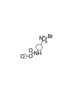 O=C(NC1CCC(c2ncc(Br)s2)CC1)OC1COC1